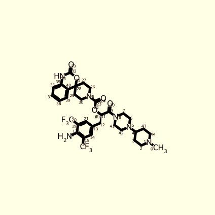 CN1CCC(N2CCN(C(=O)[C@@H](Cc3cc(C(F)(F)F)c(N)c(C(F)(F)F)c3)OC(=O)N3CCC4(CC3)OC(=O)Nc3ccccc34)CC2)CC1